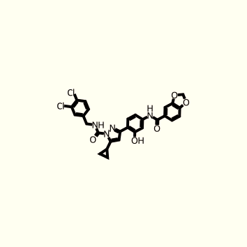 O=C(Nc1ccc(-c2cc(C3CC3)n(C(=O)NCc3ccc(Cl)c(Cl)c3)n2)c(O)c1)c1ccc2c(c1)OCO2